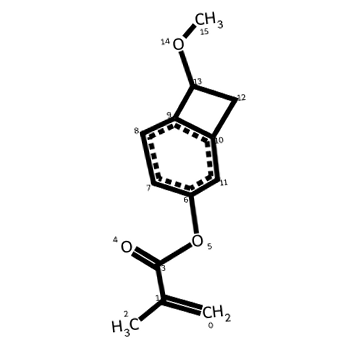 C=C(C)C(=O)Oc1ccc2c(c1)CC2OC